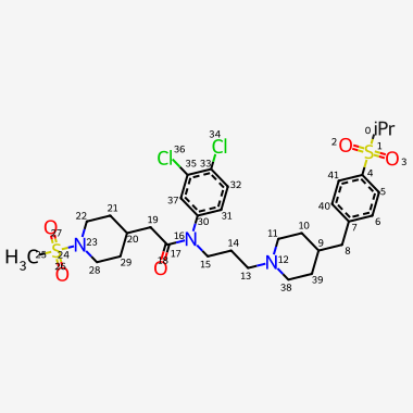 CC(C)S(=O)(=O)c1ccc(CC2CCN(CCCN(C(=O)CC3CCN(S(C)(=O)=O)CC3)c3ccc(Cl)c(Cl)c3)CC2)cc1